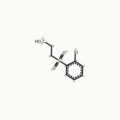 CCc1ccccc1S(=O)(=O)CCC(=O)O